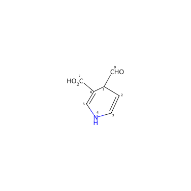 O=CC1C=CNC=C1C(=O)O